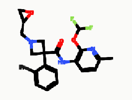 Cc1ccc(NC(=O)C2(c3ccccc3C(C)C)CN(C[C@@H]3CO3)C2)c(OC(F)F)n1